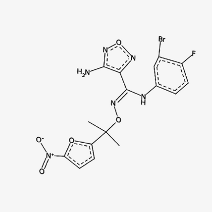 CC(C)(O/N=C(\Nc1ccc(F)c(Br)c1)c1nonc1N)c1ccc([N+](=O)[O-])o1